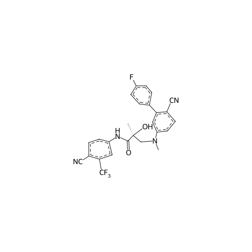 CN(C[C@](C)(O)C(=O)Nc1ccc(C#N)c(C(F)(F)F)c1)c1ccc(C#N)c(-c2ccc(F)cc2)c1